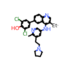 [CH2][CH]c1cnc2ccc(-c3cc(Cl)c(O)c(Cl)c3)cc2c1Nc1cnc(C)c(CCN2CCCC2)c1